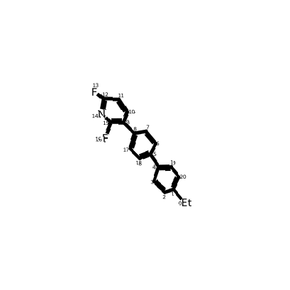 CCc1ccc(-c2ccc(-c3ccc(F)nc3F)cc2)cc1